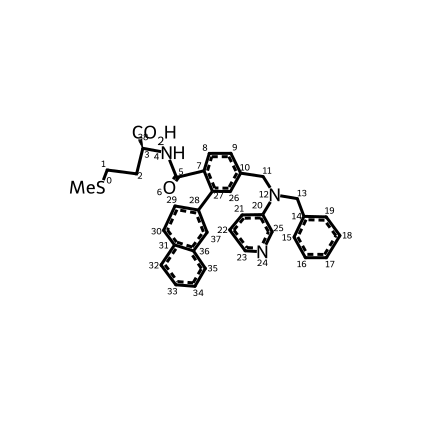 CSCC[C@H](NC(=O)c1ccc(CN(Cc2ccccc2)c2cccnc2)cc1-c1ccc2ccccc2c1)C(=O)O